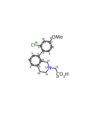 COc1ccc(-c2cccc3c2CN(CC(=O)O)CC3)c(Cl)c1